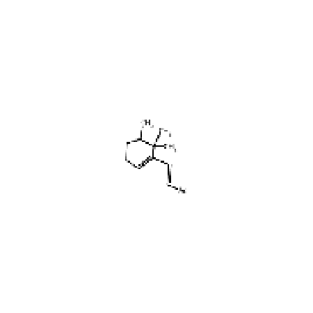 CC(=O)C=CC1=CCCC(C)C1(C)C